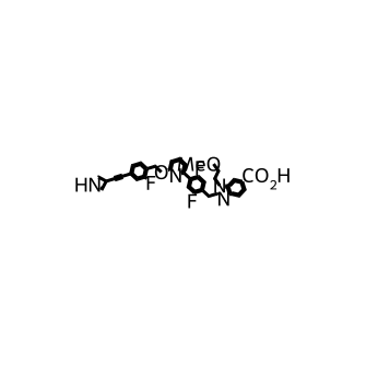 COCCn1c(Cc2cc(F)c(-c3cccc(OCc4ccc(C#CC5CNC5)cc4F)n3)cc2F)nc2ccc(C(=O)O)cc21